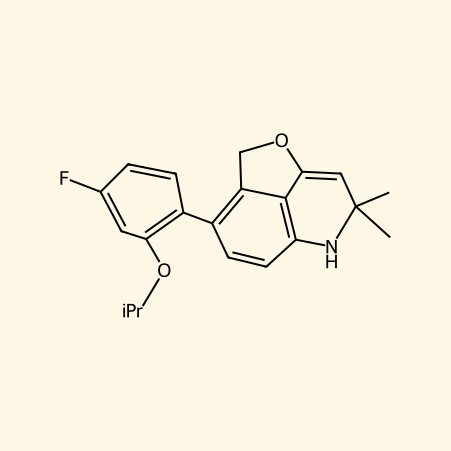 CC(C)Oc1cc(F)ccc1-c1ccc2c3c1COC3=CC(C)(C)N2